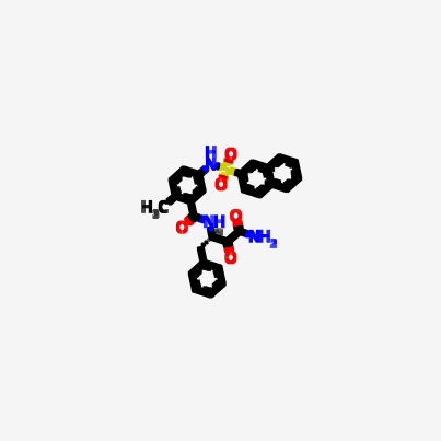 Cc1ccc(NS(=O)(=O)c2ccc3ccccc3c2)cc1C(=O)N[C@@H](Cc1ccccc1)C(=O)C(N)=O